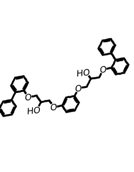 OC(COc1cccc(OCC(O)COc2ccccc2-c2ccccc2)c1)COc1ccccc1-c1ccccc1